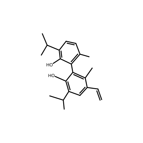 C=Cc1cc(C(C)C)c(O)c(-c2c(C)ccc(C(C)C)c2O)c1C